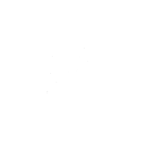 COS(=O)(=O)CS(=O)(=O)OB(F)F